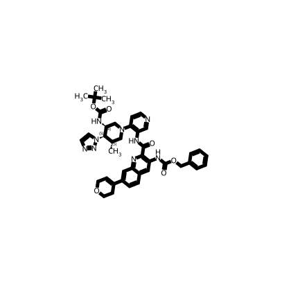 C[C@H]1CN(c2ccncc2NC(=O)c2nc3cc(C4=CCOCC4)ccc3cc2NC(=O)OCc2ccccc2)C[C@@H](NC(=O)OC(C)(C)C)[C@H]1n1ccnn1